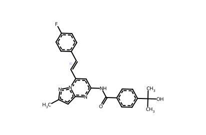 Cc1cc2nc(NC(=O)c3ccc(C(C)(C)O)cc3)cc(/C=C/c3ccc(F)cc3)n2n1